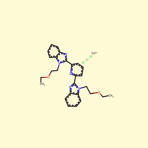 CCOCCn1c(-c2cccc(-c3nc4ccccc4n3CCOCC)n2)nc2ccccc21.[Cl-].[Cl-].[Cl-].[Co+3]